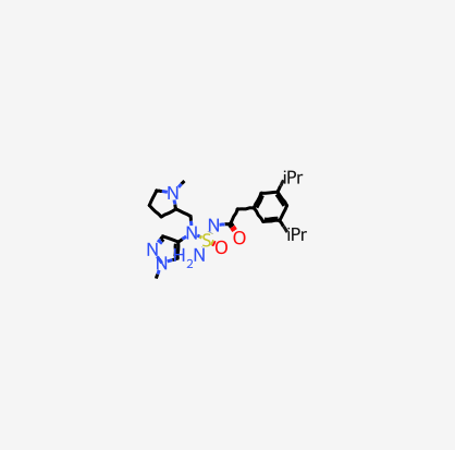 CC(C)c1cc(CC(=O)N=S(N)(=O)N(CC2CCCN2C)c2cnn(C)c2)cc(C(C)C)c1